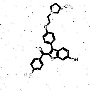 Cc1ccc(C(=O)c2sc3cc(O)ccc3c2-c2ccc(OCCN3CC[C@H](C)C3)cc2)cc1